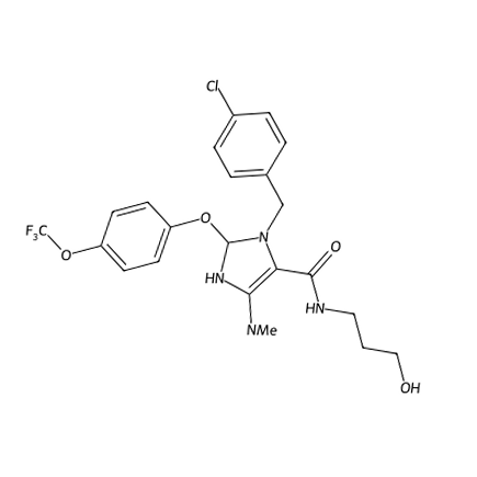 CNC1=C(C(=O)NCCCO)N(Cc2ccc(Cl)cc2)C(Oc2ccc(OC(F)(F)F)cc2)N1